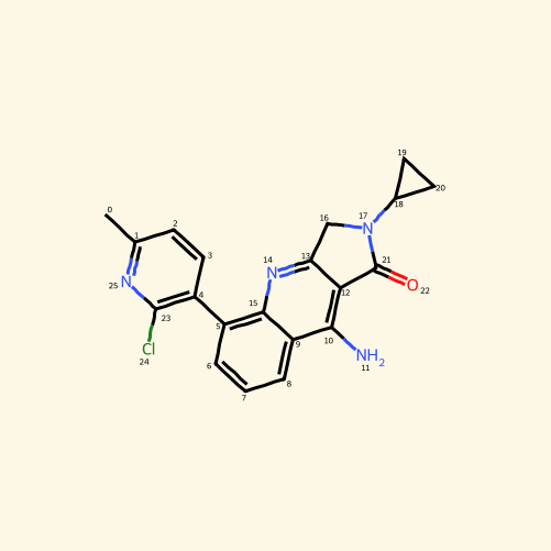 Cc1ccc(-c2cccc3c(N)c4c(nc23)CN(C2CC2)C4=O)c(Cl)n1